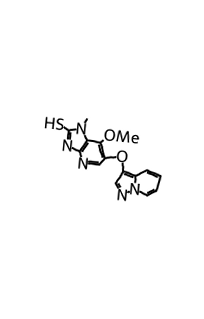 COc1c(Oc2cnn3ccccc23)cnc2nc(S)n(C)c12